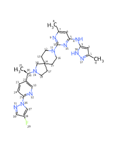 Cc1cc(Nc2cc(C)nc(N3CCC4(CC3)CCN([C@H](C)c3ccc(-n5cc(F)cn5)nc3)C4)n2)[nH]n1